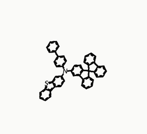 c1ccc(-c2ccc(N(c3ccc4c(c3)-c3ccccc3C43c4ccccc4-c4ccccc43)c3ccc4c(c3)sc3ccccc34)cc2)cc1